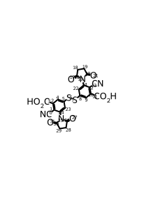 N#Cc1c(C(=O)O)cc(SSc2cc(C(=O)O)c(C#N)c(N3C(=O)CCC3=O)c2)cc1N1C(=O)CCC1=O